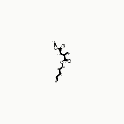 CCCCCOC(=O)C(C)CC(=O)OC